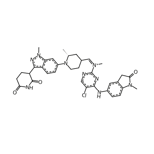 C[C@@H]1CC(/C=[N+](/C)c2ncc(Cl)c(Nc3ccc4c(c3)CC(=O)N4C)n2)CCN1c1ccc2c(C3CCC(=O)NC3=O)nn(C)c2c1